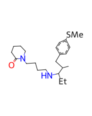 CCC(NCCCCN1CCCCC1=O)C(C)Cc1ccc(SC)cc1